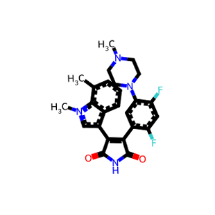 Cc1cccc2c(C3=C(c4cc(N5CCN(C)CC5)c(F)cc4F)C(=O)NC3=O)cn(C)c12